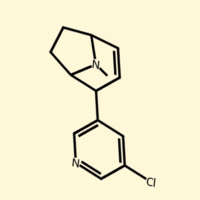 CN1C2C=CC(c3cncc(Cl)c3)C1CC2